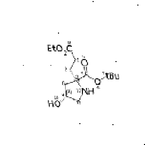 CCOC(=O)CC[C@@]1(C(=O)OC(C)(C)C)C[C@@H](O)CN1